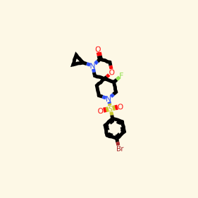 O=C1COC2(CCN(S(=O)(=O)c3ccc(Br)cc3)CC2F)CN1C1CC1